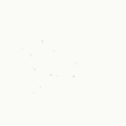 C[C@@H]1CN(C(=O)c2ncn(C)c2-c2ncc(F)cn2)[C@H](CNc2ccc(C(F)(F)F)cn2)[C@H](C)O1